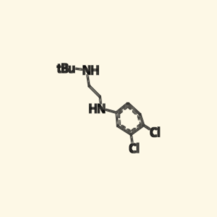 CC(C)(C)NCCNc1ccc(Cl)c(Cl)c1